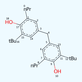 CCCc1cc(Cc2cc(CCC)c(O)c(C(C)(C)C)c2)cc(C(C)(C)C)c1O